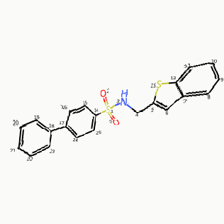 O=S(=O)(NCc1cc2ccccc2s1)c1ccc(-c2ccccc2)cc1